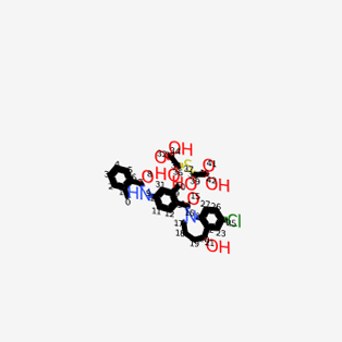 Cc1ccccc1C(=O)Nc1ccc(C(=O)N2CCCC(O)c3cc(Cl)ccc32)c(C)c1.O=C(O)C(O)SC(O)C(=O)O